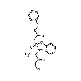 CC(C)OC(=O)[C@H](N)NP(=O)(CC(=O)OCc1ccccc1)Oc1ccccc1